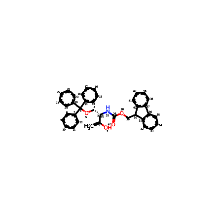 C=C(O)[C@H](COC(c1ccccc1)(c1ccccc1)c1ccccc1)NC(=O)OCC1c2ccccc2-c2ccccc21